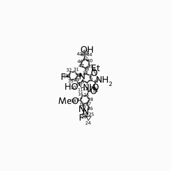 CCOc1c(C(N)=O)cc([C@@](O)(CNC(=O)c2cc(OC)c3nn(C4(F)CC4)cc3c2)c2cccc(F)c2)nc1-c1ccc(C(C)(C)O)cc1